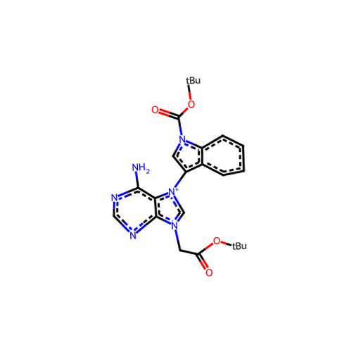 CC(C)(C)OC(=O)Cn1c[n+](-c2cn(C(=O)OC(C)(C)C)c3ccccc23)c2c(N)ncnc21